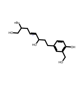 CCCCC(CO)C/C=C/C(O)CCc1ccc(O)c(CO)c1